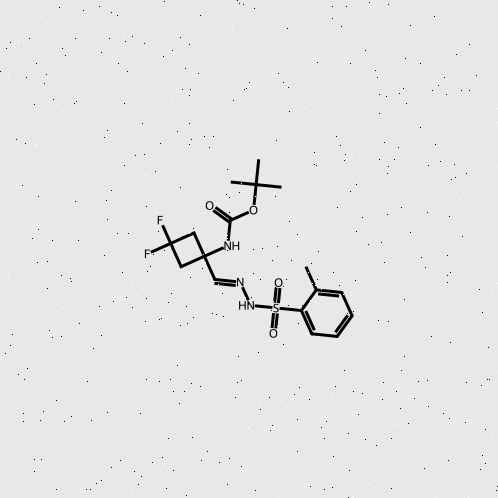 Cc1ccccc1S(=O)(=O)NN=CC1(NC(=O)OC(C)(C)C)CC(F)(F)C1